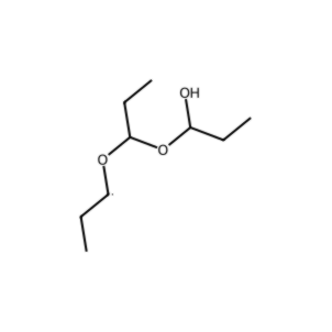 CC[CH]OC(CC)OC(O)CC